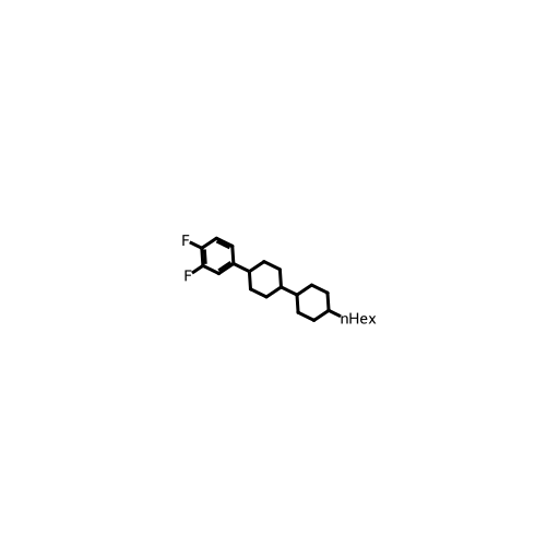 CCCCCCC1CCC(C2CCC(c3ccc(F)c(F)c3)CC2)CC1